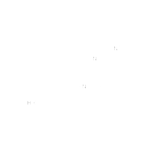 CC#CCN1CCn2cncc2C1